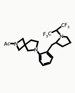 CC(=O)N1CC2(CCN(c3ccccc3CC3CCCN3C(C(F)(F)F)C(F)(F)F)C2)C1